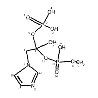 O.O=P(O)(O)OC(O)(Cn1ccnc1)OP(=O)(O)O